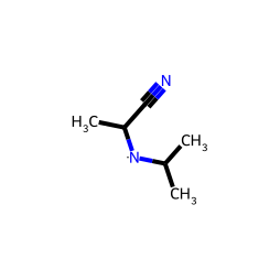 CC(C)[N]C(C)C#N